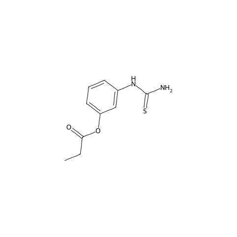 CCC(=O)Oc1cccc(NC(N)=S)c1